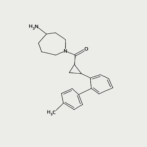 Cc1ccc(-c2ccccc2C2CC2C(=O)N2CCCC(N)CC2)cc1